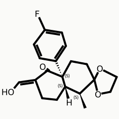 C[C@H]1[C@@H]2CCC(=CO)C(=O)[C@@]2(c2ccc(F)cc2)CCC12OCCO2